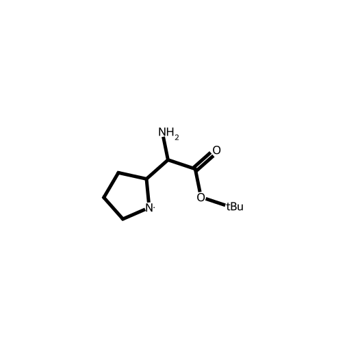 CC(C)(C)OC(=O)C(N)C1CCC[N]1